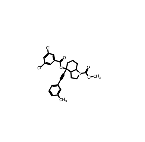 COC(=O)N1CCC2C1CCCC2(C#Cc1cccc(C)c1)OC(=O)c1cc(Cl)cc(Cl)c1